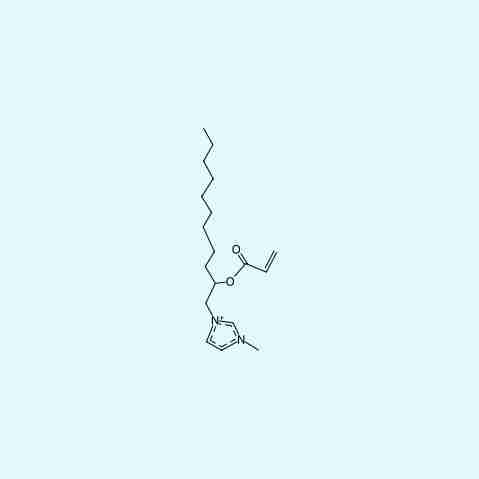 C=CC(=O)OC(CCCCCCCCC)C[n+]1ccn(C)c1